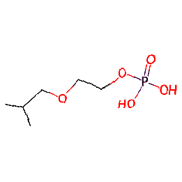 CC(C)COCCOP(=O)(O)O